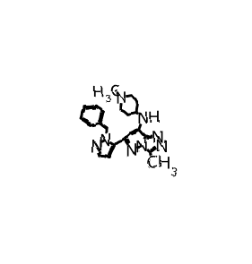 Cc1nnc2c(NC3CCN(C)CC3)cc(-c3ccnn3Cc3ccccc3)nn12